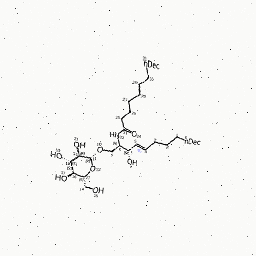 CCCCCCCCCCCCC/C=C/[C@H](O)[C@@H](CO[C@@H]1O[C@H](CO)[C@@H](O)[C@H](O)[C@H]1O)NC(=O)CCCCCCCCCCCCCCCC